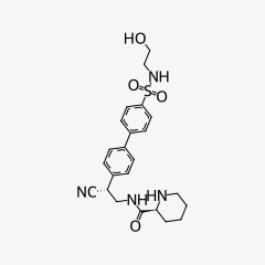 N#C[C@@H](CNC(=O)[C@@H]1CCCCN1)c1ccc(-c2ccc(S(=O)(=O)NCCO)cc2)cc1